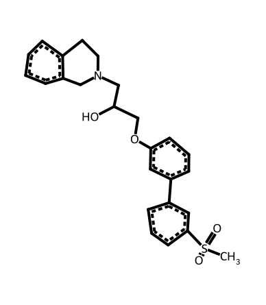 CS(=O)(=O)c1cccc(-c2cccc(OCC(O)CN3CCc4ccccc4C3)c2)c1